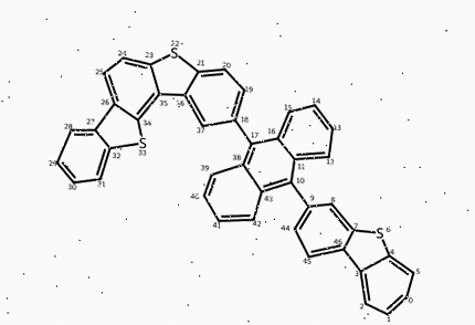 c1ccc2c(c1)sc1cc(-c3c4ccccc4c(-c4ccc5sc6ccc7c8ccccc8sc7c6c5c4)c4ccccc34)ccc12